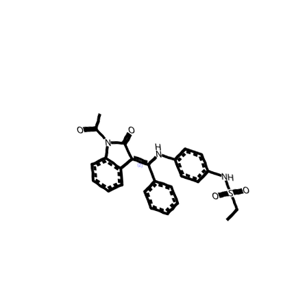 CCS(=O)(=O)Nc1ccc(N/C(=C2\C(=O)N(C(C)=O)c3ccccc32)c2ccccc2)cc1